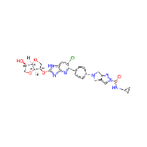 [O-][S+](NC1CC1)n1cc2c(n1)CN(c1ccc(-c3nc4nc(O[C@@H]5CO[C@H]6[C@@H]5OC[C@H]6O)[nH]c4cc3Cl)cc1)C2